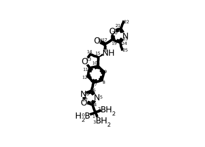 BC(B)(B)c1nc(-c2ccc3c(c2)OC[C@H]3NC(=O)c2oc(C)nc2C)no1